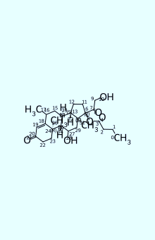 CCCC(=O)O[C@]1(C(=O)CO)CC[C@H]2[C@@H]3CC(C)C4=CC(=O)CC[C@]4(C)[C@H]3C(O)C[C@@]21C